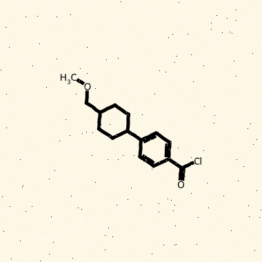 COCC1CCC(c2ccc(C(=O)Cl)cc2)CC1